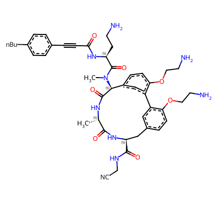 CCCCc1ccc(C#CC(=O)N[C@@H](CCN)C(=O)N(C)[C@@H]2C(=O)N[C@@H](C)C(=O)N[C@H](C(=O)NCC#N)Cc3ccc(OCCN)c(c3)-c3cc2ccc3OCCN)cc1